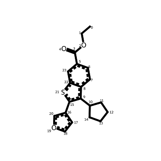 CCOC(=O)c1ccc2c(C3CCCC3)c(-c3ccoc3)sc2c1